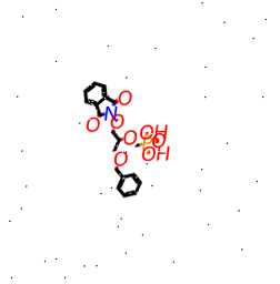 O=C1c2ccccc2C(=O)N1OCC(COCc1ccccc1)OCP(=O)(O)O